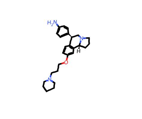 Nc1ccc([C@H]2CN3CCC[C@@H]3c3cc(OCCCN4CCCCC4)ccc32)cc1